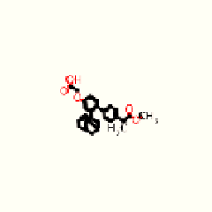 C=C(C(=O)OC)c1ccc(-c2ccc(OCC(=O)O)cc2C23CC4CC(CC(C4)C2)C3)cc1